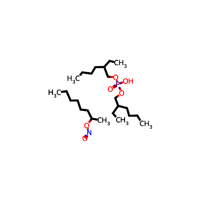 CCCCC(CC)COP(=O)(O)OCC(CC)CCCC.CCCCCCC(C)ON=O